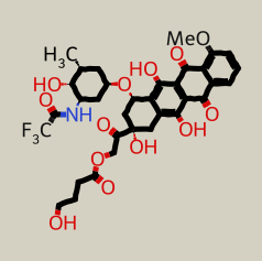 COc1cccc2c1C(=O)c1c(O)c3c(c(O)c1C2=O)C[C@@](O)(C(=O)COC(=O)CCCO)C[C@@H]3O[C@@H]1C[C@@H](C)[C@@H](O)[C@@H](NC(=O)C(F)(F)F)C1